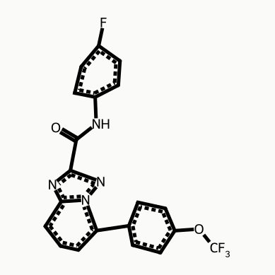 O=C(Nc1ccc(F)cc1)c1nc2cccc(-c3ccc(OC(F)(F)F)cc3)n2n1